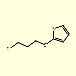 ClCCCSc1cccs1